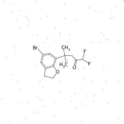 CC(C)(CC(=O)C(F)F)c1cc(Br)cc2c1OCC2